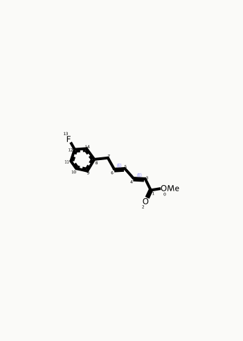 COC(=O)/C=C/C=C/Cc1cccc(F)c1